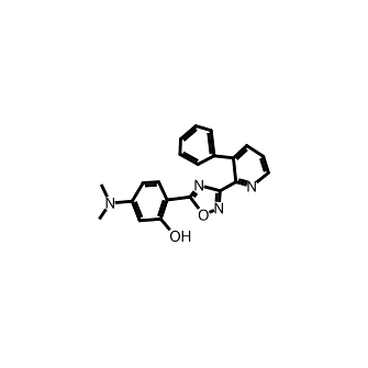 CN(C)c1ccc(-c2nc(-c3ncccc3-c3ccccc3)no2)c(O)c1